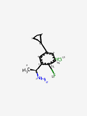 C[C@H](N)c1cc(C2CC2)ccc1F.Cl